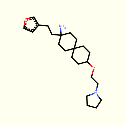 NC1(CCc2ccoc2)CCC2(CCC(OCCN3CCCC3)CC2)CC1